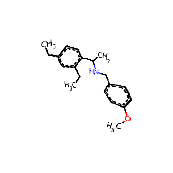 CCc1ccc(C(C)NCc2ccc(OC)cc2)c(CC)c1